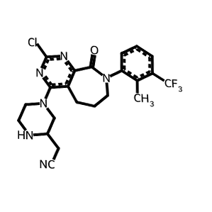 Cc1c(N2CCCc3c(nc(Cl)nc3N3CCNC(CC#N)C3)C2=O)cccc1C(F)(F)F